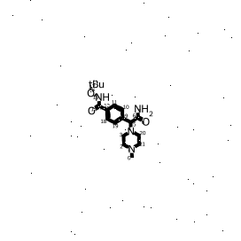 CN1CCN(C(C(N)=O)c2ccc(C(=O)NOC(C)(C)C)cc2)CC1